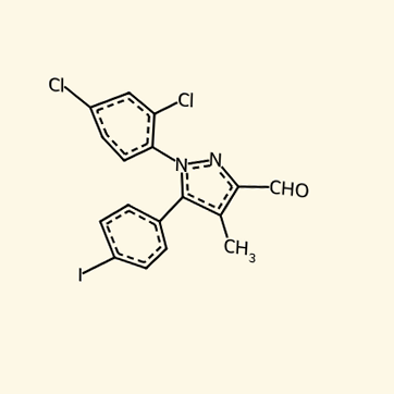 Cc1c(C=O)nn(-c2ccc(Cl)cc2Cl)c1-c1ccc(I)cc1